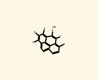 F.Fc1c(F)c2ccc3ccc(F)c4c(F)c(F)c(c1F)c2c34